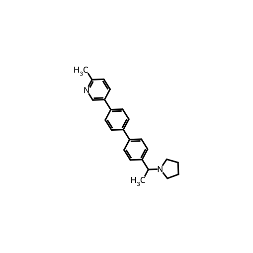 Cc1ccc(-c2ccc(-c3ccc(C(C)N4CCCC4)cc3)cc2)cn1